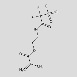 C=C(C)C(=O)OCCNC(=O)C(F)(F)S(=O)(=O)F